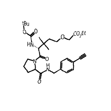 C#Cc1ccc(CNC(=O)C2CCCN2C(=O)[C@H](NC(=O)OC(C)(C)C)C(C)(C)CCOCC(=O)OCC)cc1